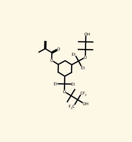 C=C(C)C(=O)OC1CC(C(CC)(CC)OC(C)(C)C(C)(C)O)CC(C(CC)(CC)OC(C)(C)C(O)(C(F)(F)F)C(F)(F)F)C1